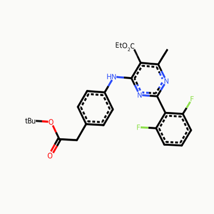 CCOC(=O)c1c(C)nc(-c2c(F)cccc2F)nc1Nc1ccc(CC(=O)OC(C)(C)C)cc1